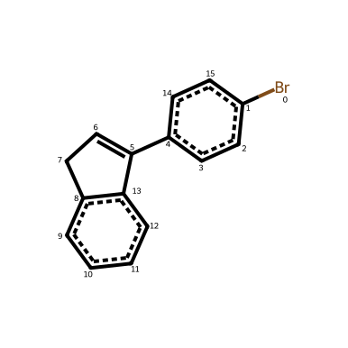 Brc1ccc(C2=CCc3ccccc32)cc1